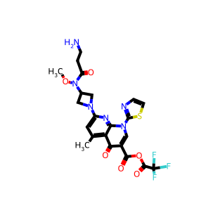 CON(C(=O)CCN)C1CN(c2cc(C)c3c(=O)c(C(=O)OC(=O)C(F)(F)F)cn(-c4nccs4)c3n2)C1